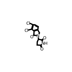 O=C1CCC(N2Cc3ccc(Cl)c(Cl)c3C2=O)C(=O)N1